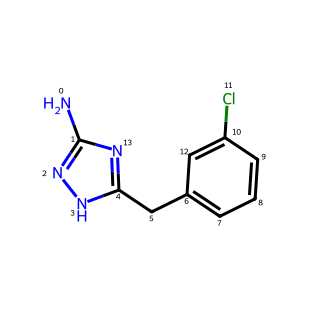 Nc1n[nH]c(Cc2cccc(Cl)c2)n1